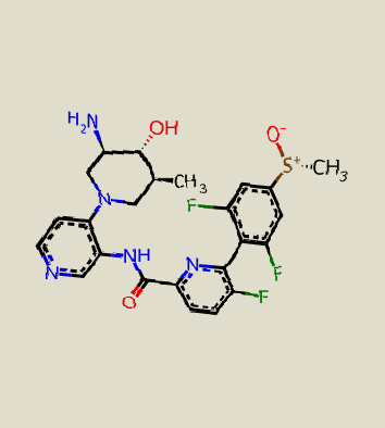 C[C@H]1CN(c2ccncc2NC(=O)c2ccc(F)c(-c3c(F)cc([S@@+](C)[O-])cc3F)n2)C[C@@H](N)[C@@H]1O